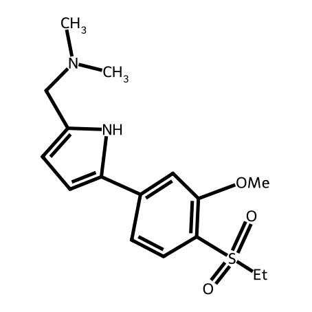 CCS(=O)(=O)c1ccc(-c2ccc(CN(C)C)[nH]2)cc1OC